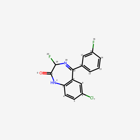 O=C1Nc2ccc(Cl)cc2C(c2cccc(F)c2)=NC1F